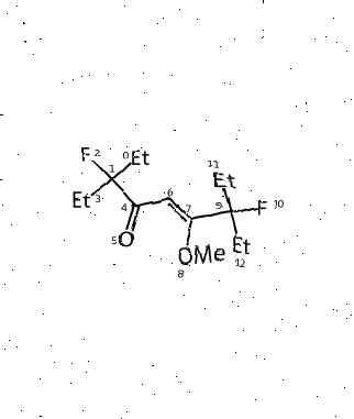 CCC(F)(CC)C(=O)/C=C(\OC)C(F)(CC)CC